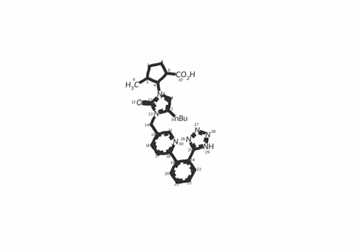 CCCCc1cn(C2C(C)CCC2C(=O)O)c(=O)n1Cc1ccc(-c2ccccc2-c2nnn[nH]2)nc1